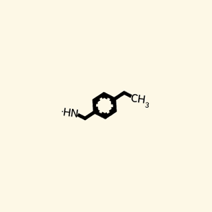 CCc1ccc(C[NH])cc1